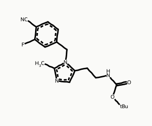 Cc1ncc(CCNC(=O)OC(C)(C)C)n1Cc1ccc(C#N)c(F)c1